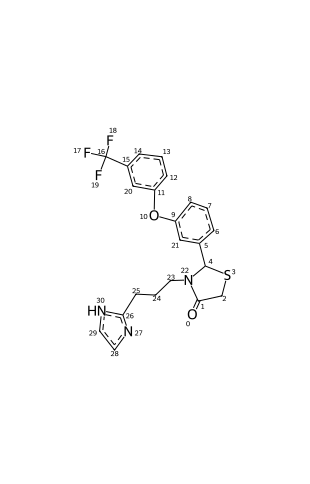 O=C1CSC(c2cccc(Oc3cccc(C(F)(F)F)c3)c2)N1CCCc1ncc[nH]1